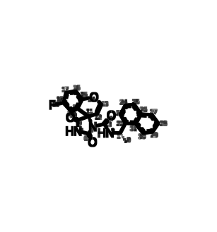 C[C@H](NC(=O)N1C(=O)NC(=O)[C@]12C=COc1ccc(F)cc12)c1cccc2ccccc12